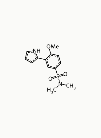 COc1ccc(S(=O)(=O)N(C)C)cc1-c1ccc[nH]1